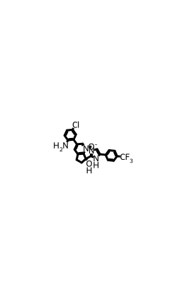 Nc1ccc(Cl)cc1-c1cc2c([n+]([O-])c1)C(O)(c1ncc(-c3ccc(C(F)(F)F)cc3)[nH]1)CC2